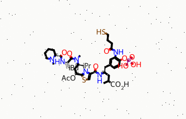 CC[C@H](C)[C@H](NC(=O)[C@H]1CCCCN1C)C(=O)N(C)[C@H](C[C@@H](OC(C)=O)c1nc(C(=O)N[C@@H](Cc2ccc(OP(=O)(O)O)c(NC(=O)CCCS)c2)CC(C)C(=O)O)cs1)C(C)C